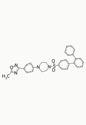 Cc1nc(-c2ccc(N3CCN(S(=O)(=O)c4ccc(-c5ccccc5-c5ccccc5)cc4)CC3)cc2)no1